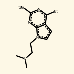 CCc1nc(C(C)(C)C)nc2c1ccn2CCN(C)C